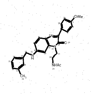 COc1ccc(-c2nc3ccc(NCc4cccc(C)c4)cc3n(CCNC(C)=O)c2=O)cc1